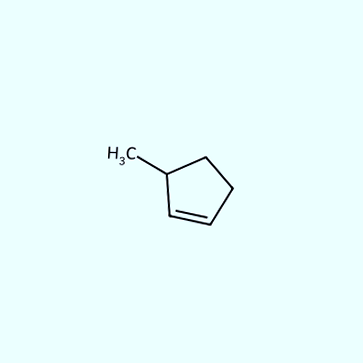 CC1C=CCC1